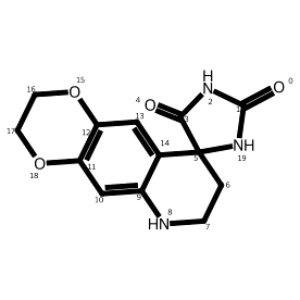 O=C1NC(=O)C2(CCNc3cc4c(cc32)OCCO4)N1